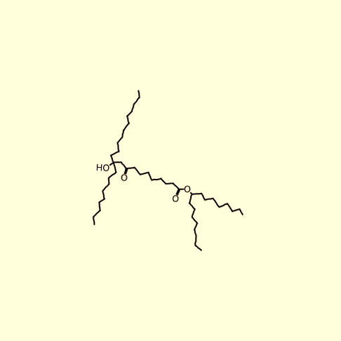 CCCCCCCCCCCC(O)(CCCCCCCCC)CC(=O)CCCCCCCC(=O)OC(CCCCCCCC)CCCCCCCC